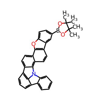 CC1(C)OB(c2ccc3oc4c(ccc5c4ccc4c6cccc7c8ccccc8n(c54)c76)c3c2)OC1(C)C